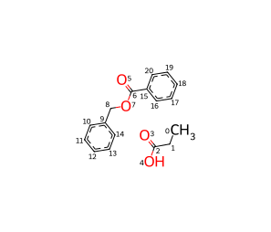 CCC(=O)O.O=C(OCc1ccccc1)c1ccccc1